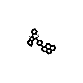 c1cc2ccc3ccc(-c4ccc(-c5nc6ccccc6c6sc7ccccc7c56)cc4)c4ccc(c1)c2c34